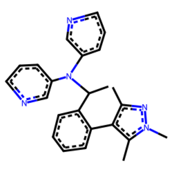 Cc1nn(C)c(C)c1-c1ccccc1C(C)N(c1cccnc1)c1cccnc1